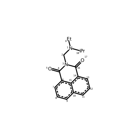 CCN(CN1C(=O)c2cccc3cccc(c23)C1=O)C(C)C